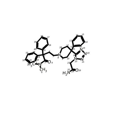 CN(C)C(=O)C(CCN1CCC(c2ccccc2)(c2nnnn2CC(N)=O)CC1)(c1ccccc1)c1ccccc1